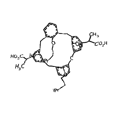 CC(C)CCOc1c2cccc1Cc1cc(C(C)C(=O)O)cc(c1O)Cc1cccc(c1OCCC(C)C)Cc1cc(C(C)C(=O)O)cc(c1O)C2